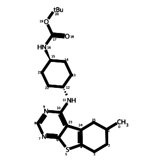 CC1CCc2sc3ncnc(N[C@H]4CC[C@H](NC(=O)OC(C)(C)C)CC4)c3c2C1